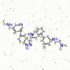 CCNCc1cncc(-c2ccc3[nH]nc(-c4cc5c(-c6cc(F)cc(NCCN(C)C)c6)cccc5[nH]4)c3c2)c1